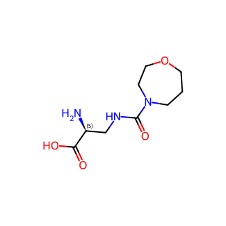 N[C@@H](CNC(=O)N1CCCOCC1)C(=O)O